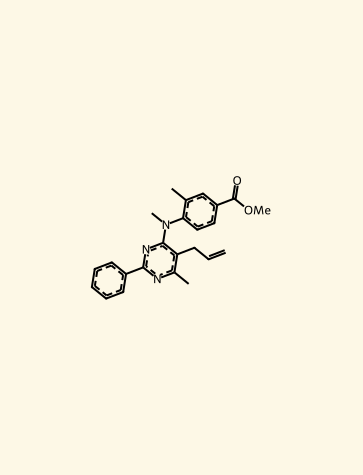 C=CCc1c(C)nc(-c2ccccc2)nc1N(C)c1ccc(C(=O)OC)cc1C